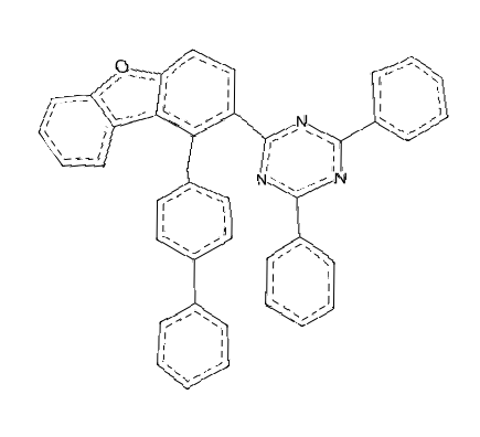 c1ccc(-c2ccc(-c3c(-c4nc(-c5ccccc5)nc(-c5ccccc5)n4)ccc4oc5ccccc5c34)cc2)cc1